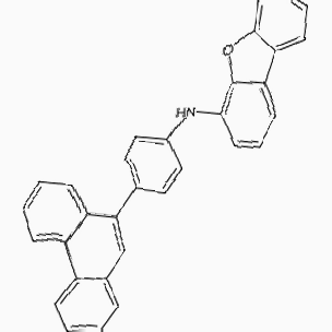 c1ccc2c(c1)cc(-c1ccc(Nc3cccc4c3oc3ccccc34)cc1)c1ccccc12